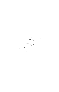 Cc1cc(N(C)C(=O)OC(C)(C)C)cnc1Br